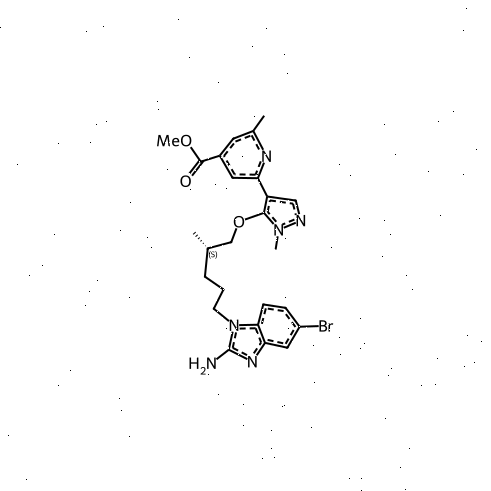 COC(=O)c1cc(C)nc(-c2cnn(C)c2OC[C@@H](C)CCCn2c(N)nc3cc(Br)ccc32)c1